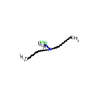 CCCCCCCCCCCCCCCCCCN(CCCCCCCCCCCCCCCCCC)CCCN(C)C.Cl